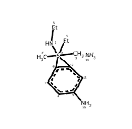 CCNS1(C)(C)(CC)c2ccc(N)cc21.N